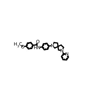 COc1ccc(C(=O)Nc2ccc(N3CCC4(CCN(c5ccccn5)C4)C3)cc2)cc1